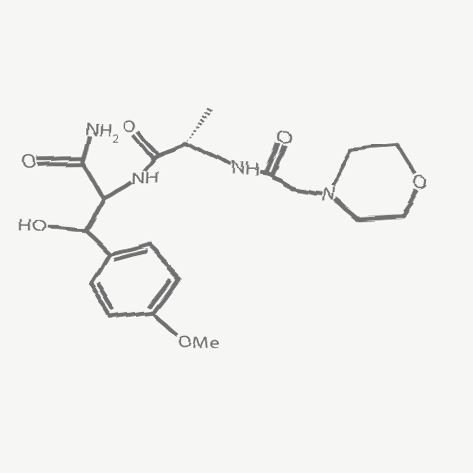 COc1ccc(C(O)C(NC(=O)[C@H](C)NC(=O)CN2CCOCC2)C(N)=O)cc1